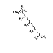 CCOC(=O)C(C)(C/C=C(\C)CC/C=C(\C)CC/C=C(\C)CCC=C(C)C)C(C)=O